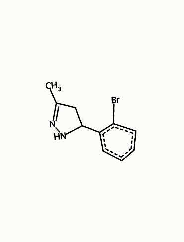 CC1=NNC(c2ccccc2Br)C1